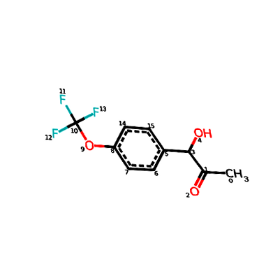 CC(=O)C(O)c1ccc(OC(F)(F)F)cc1